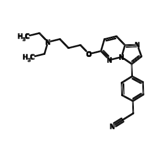 CCN(CC)CCCOc1ccc2ncc(-c3ccc(CC#N)cc3)n2n1